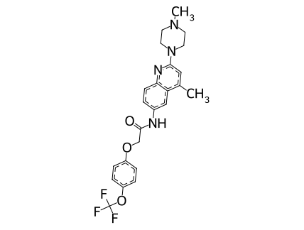 Cc1cc(N2CCN(C)CC2)nc2ccc(NC(=O)COc3ccc(OC(F)(F)F)cc3)cc12